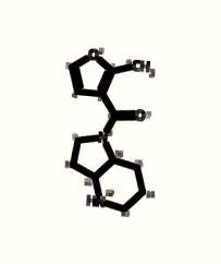 Cc1occc1C(=O)N1CCC2NCCCC21